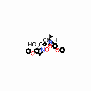 O=C(O)[C@H]1[C@H](C(=O)O)[C@H](C(=O)N(Cc2ccc(Oc3ccccc3)cc2)CC2CC2)[C@H]1C(=O)N(Cc1ccc(Oc2ccccc2)cc1)CC1CC1